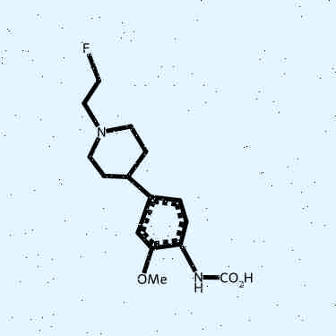 COc1cc(C2CCN(CCF)CC2)ccc1NC(=O)O